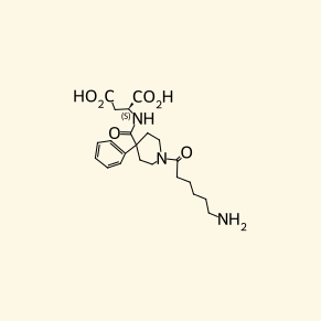 NCCCCCC(=O)N1CCC(C(=O)N[C@@H](CC(=O)O)C(=O)O)(c2ccccc2)CC1